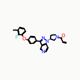 C=CC(=O)N1CC[C@@H](n2nc(-c3ccc(Oc4cccc(C)c4F)cc3)c3cnccc32)C1